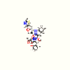 Cc1nc(C)c(CC(=O)C[C@@H](C)C(=O)N[C@@H](Cc2ccccc2)C(=O)NC(Cc2ccccc2)C(=O)[C@@]2(C)CO2)s1